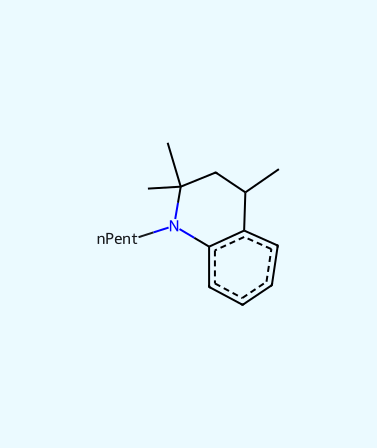 CCCCCN1c2ccccc2C(C)CC1(C)C